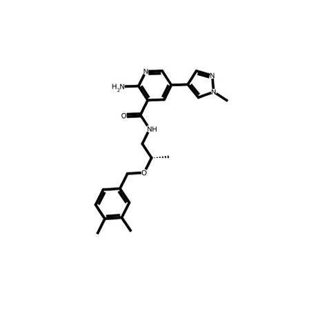 Cc1ccc(CO[C@@H](C)CNC(=O)c2cc(-c3cnn(C)c3)cnc2N)cc1C